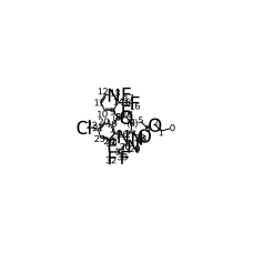 CCOC(=O)C[C@H]1O[C@H](c2cccnc2C(F)(F)F)c2cc(Cl)ccc2-n2c1nnc2C(F)(F)F